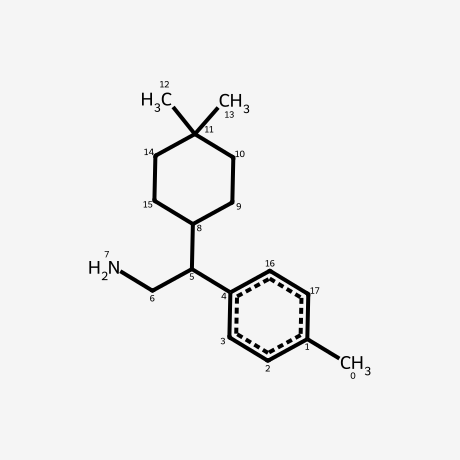 Cc1ccc(C(CN)C2CCC(C)(C)CC2)cc1